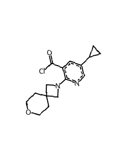 O=C(Cl)c1cc(C2CC2)cnc1N1CC2(CCOCC2)C1